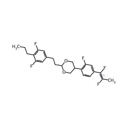 CCCc1c(F)cc(CCC2OCC(c3ccc(/C(F)=C(/C)F)cc3F)CO2)cc1F